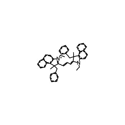 CCN1/C(=C/C=C/C2=[N+](CC)c3ccc4ccccc4c3C2(C)Cc2ccccc2)C(C)(Cc2ccccc2)c2c1ccc1ccccc21